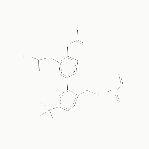 C=C[SH](=O)=O.CC(=O)Oc1ccc(-c2cc(C(F)(F)F)ccc2CN)cc1OC(C)=O